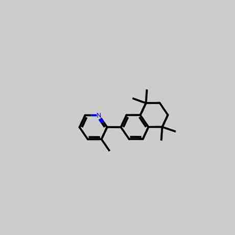 Cc1cccnc1-c1ccc2c(c1)C(C)(C)CCC2(C)C